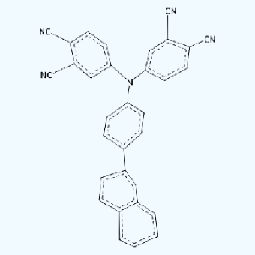 N#Cc1ccc(N(c2ccc(-c3ccc4ccccc4c3)cc2)c2ccc(C#N)c(C#N)c2)cc1C#N